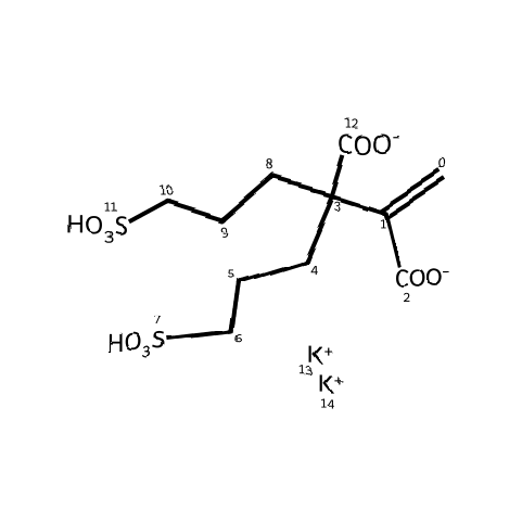 C=C(C(=O)[O-])C(CCCS(=O)(=O)O)(CCCS(=O)(=O)O)C(=O)[O-].[K+].[K+]